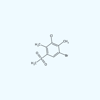 Cc1c(Br)cc(S(C)(=O)=O)c(C)c1Cl